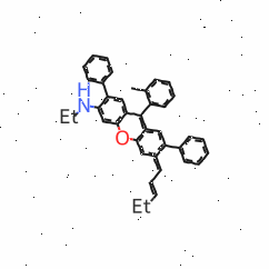 CC/C=C/C=c1\cc2c(cc1-c1ccccc1)=C(c1ccccc1C)c1cc(-c3ccccc3)c(NCC)cc1O2